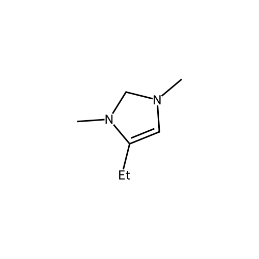 CCC1=CN(C)CN1C